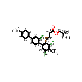 CCCCC1CC=C(c2ccc(-c3cc(F)c(C(F)(F)F)c(F)c3SCCC(=O)OCC(CC)CCCC)c(F)c2)CC1